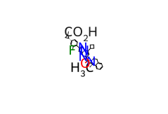 C[C@@H]1c2ccccc2CCN1C(=O)c1cc(C2CCC2)n2nc(-c3ccc([C@@H]4CC4C(=O)O)cc3F)cc2n1